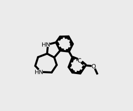 COc1cccc(-c2cccc3c2C2CCNCCC2N3)c1